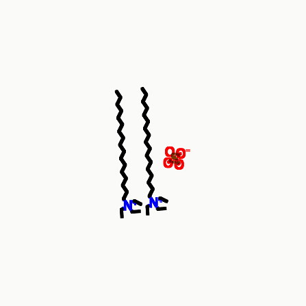 CCCCCCCCCCCCCCCCC[N+](CC)(CC)CC.CCCCCCCCCCCCCCCCC[N+](CC)(CC)CC.O=S(=O)([O-])[O-]